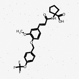 COc1cc(C=CC(=O)NC2(C(=O)O)CCCC2)ccc1OCc1ccc(OC(F)(F)F)cc1